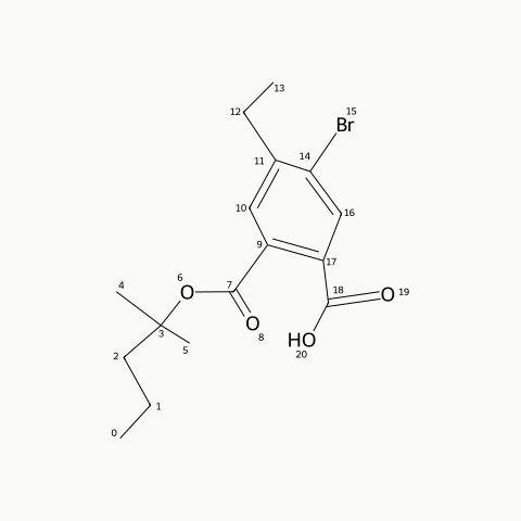 CCCC(C)(C)OC(=O)c1cc(CC)c(Br)cc1C(=O)O